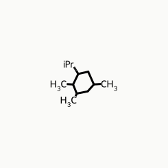 CC1CC(C)C(C)C(C(C)C)C1